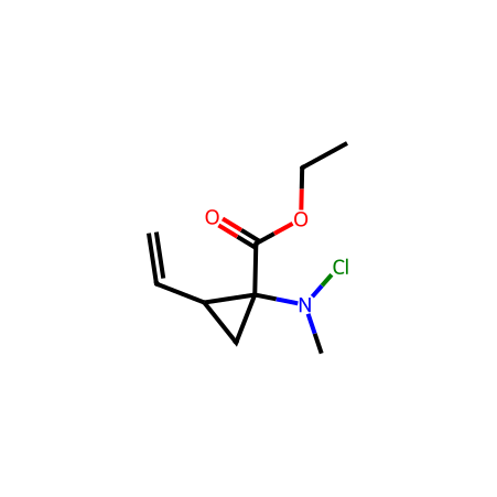 C=CC1CC1(C(=O)OCC)N(C)Cl